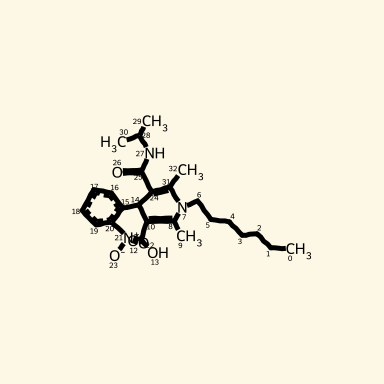 CCCCCCCN1C(C)=C(C(=O)O)C(c2ccccc2[N+](=O)[O-])C(C(=O)NC(C)C)=C1C